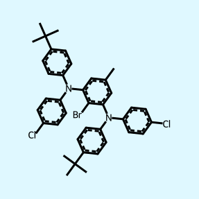 Cc1cc(N(c2ccc(Cl)cc2)c2ccc(C(C)(C)C)cc2)c(Br)c(N(c2ccc(Cl)cc2)c2ccc(C(C)(C)C)cc2)c1